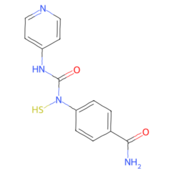 NC(=O)c1ccc(N(S)C(=O)Nc2ccncc2)cc1